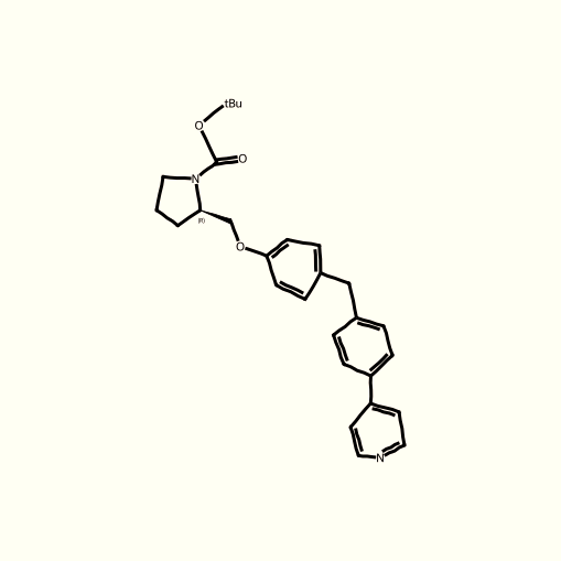 CC(C)(C)OC(=O)N1CCC[C@@H]1COc1ccc(Cc2ccc(-c3ccncc3)cc2)cc1